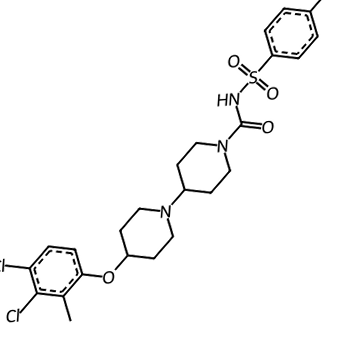 Cc1ccc(S(=O)(=O)NC(=O)N2CCC(N3CCC(Oc4ccc(Cl)c(Cl)c4C)CC3)CC2)cc1